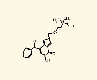 Cn1cc(C(O)c2ccccc2)c2cn(COCC[Si](C)(C)C)cc2c1=O